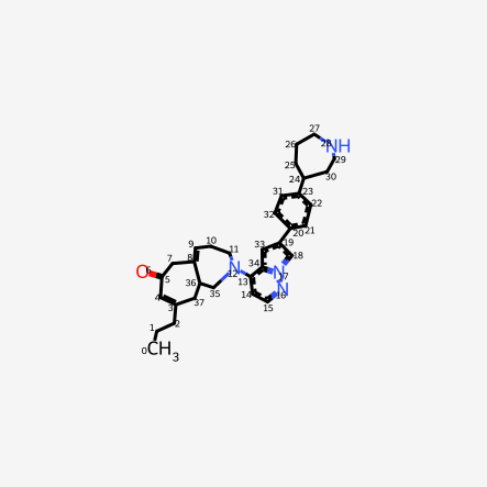 CCCC1=CC(=O)CC2=CCCN(c3ccnn4cc(-c5ccc(C6CCCNCC6)cc5)cc34)CC2C1